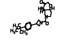 CC(C)(C)c1ccc(C2CN(C(=O)N3CC[C@@H]4OCC(=O)N[C@H]4C3)C2)cc1